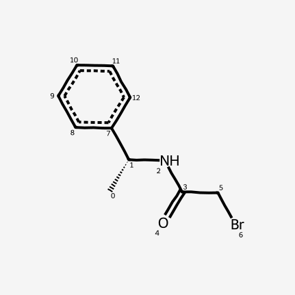 C[C@@H](NC(=O)CBr)c1ccccc1